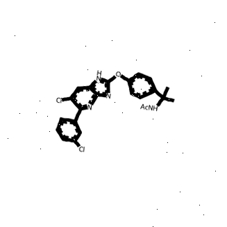 CC(=O)NC(C)(C)c1ccc(Oc2nc3nc(-c4cccc(Cl)c4)c(Cl)cc3[nH]2)cc1